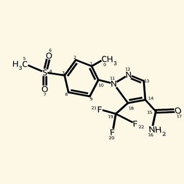 Cc1cc(S(C)(=O)=O)ccc1-n1ncc(C(N)=O)c1C(F)(F)F